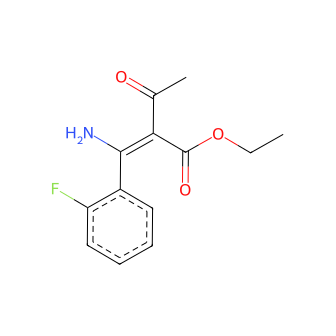 CCOC(=O)C(C(C)=O)=C(N)c1ccccc1F